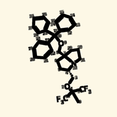 CC(OC[C@@H]1CC[C@]2(COC(c3ccccc3)(c3ccccc3)c3ccccc3)CCCN12)(C(F)(F)F)C(F)(F)F